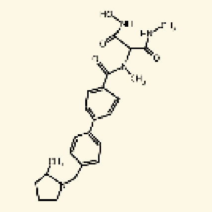 CNC(=O)C(C(=O)NO)N(C)C(=O)c1ccc(-c2ccc(CN3CCCC3C)cc2)cc1